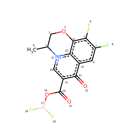 CC1COc2c(F)c(F)cc3c(=O)c(C(=O)OB(F)F)cn1c23